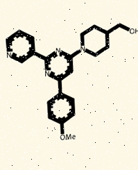 COc1ccc(-c2cc(N3CCC(CO)CC3)nc(-c3cccnc3)n2)cc1